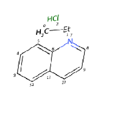 CCC.Cl.c1ccc2ncccc2c1